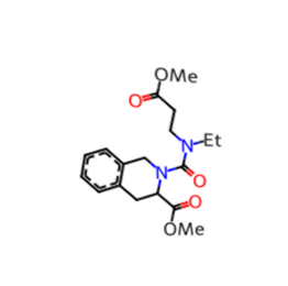 CCN(CCC(=O)OC)C(=O)N1Cc2ccccc2CC1C(=O)OC